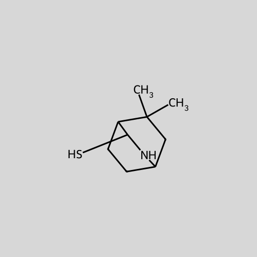 CC1(C)CC2CCC1C(S)N2